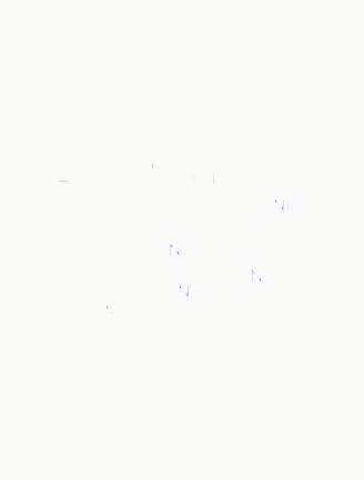 C=C1C(N)=NC=NN1/C(=C\C)C(C)C